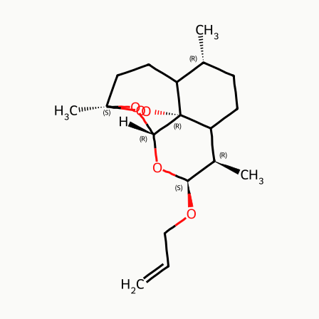 C=CCO[C@H]1O[C@@H]2O[C@]3(C)CCC4[C@H](C)CCC([C@H]1C)[C@]42OO3